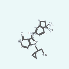 N#CCC(C1CC1)n1nc(Nc2ccc3c(c2)CC[C@@]3(O)C(F)(F)F)c2c(=O)[nH]ccc21